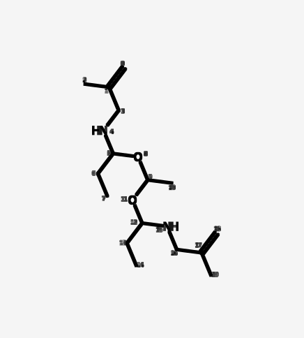 C=C(C)CNC(CC)OC(C)OC(CC)NCC(=C)C